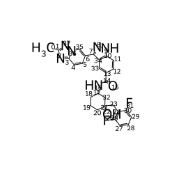 Cc1nc2ccc(-c3n[nH]c4ccc(C(=O)N[C@@H]5CCC[C@@](O)(Cc6c(F)cccc6F)C5)cc34)cn2n1